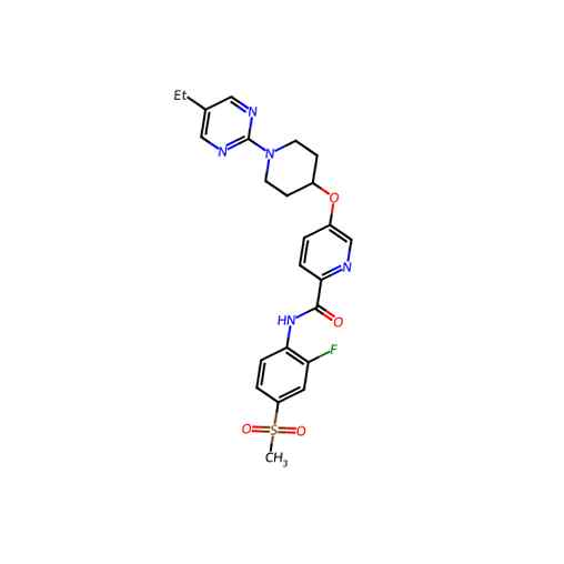 CCc1cnc(N2CCC(Oc3ccc(C(=O)Nc4ccc(S(C)(=O)=O)cc4F)nc3)CC2)nc1